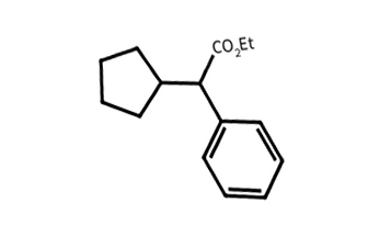 CCOC(=O)C(c1ccccc1)C1CCCC1